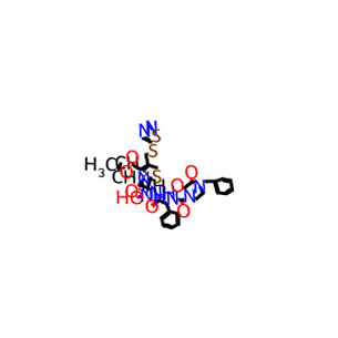 CC(C)(C)OC(=O)C1=C(CSc2cnns2)CS[C@H]2N1C(=O)[C@@]2(NO)NC(=O)C(NC(=O)N1CCN(Cc2ccccc2)C(=O)C1=O)c1ccccc1